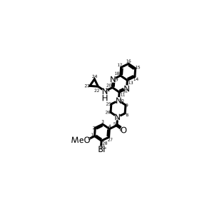 COc1ccc(C(=O)N2CCN(c3nc4ccccc4nc3NC3CC3)CC2)cc1Br